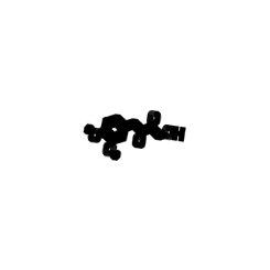 COc1ccc(CC(=O)C(=O)CO)cc1OC